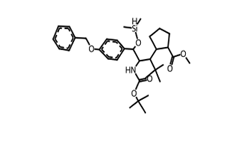 COC(=O)C1CCCC1C(C(NC(=O)OC(C)(C)C)C(O[SiH](C)C)c1ccc(OCc2ccccc2)cc1)C(C)(C)C